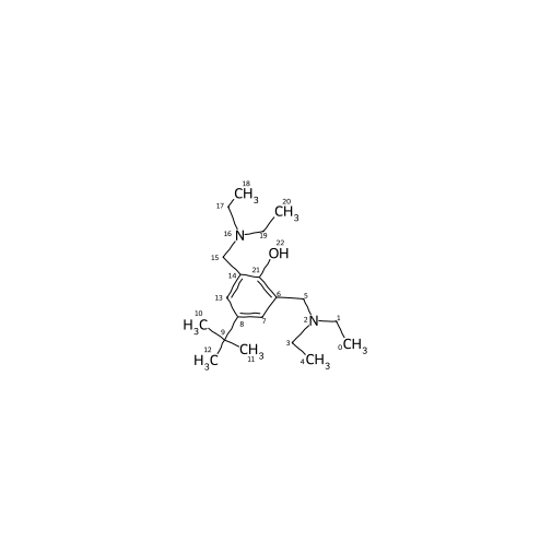 CCN(CC)Cc1cc(C(C)(C)C)cc(CN(CC)CC)c1O